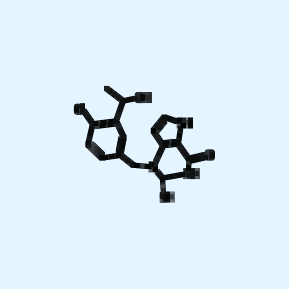 CC(O)c1cc(CN2c3cc[nH]c3C(=O)NC2S)ccc1Cl